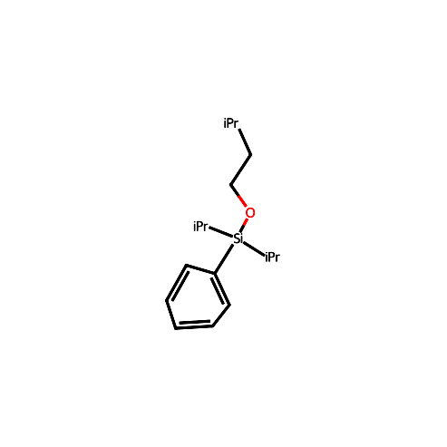 CC(C)CCO[Si](c1ccccc1)(C(C)C)C(C)C